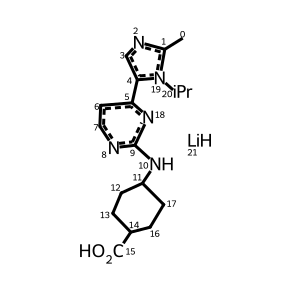 Cc1ncc(-c2ccnc(NC3CCC(C(=O)O)CC3)n2)n1C(C)C.[LiH]